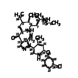 C=CC(/C=C(\NC/C=C(\C)NSC)C(=O)c1cnn(C2=CNC(Oc3cccc(Cl)c3)C=C2C)c1N)CC